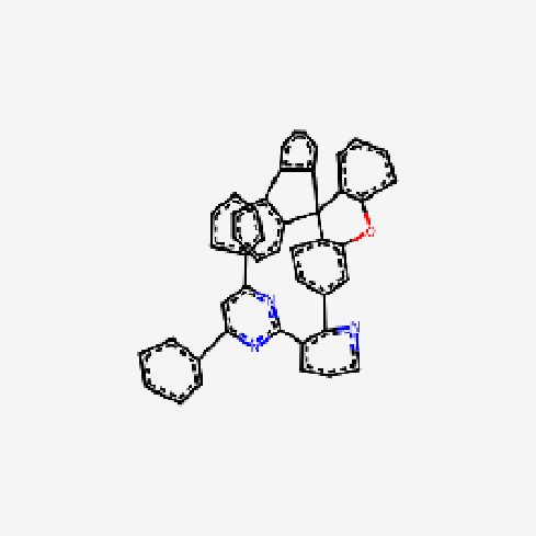 c1ccc(-c2cc(-c3ccccc3)nc(-c3cccnc3-c3ccc4c(c3)Oc3ccccc3C43c4ccccc4-c4ccccc43)n2)cc1